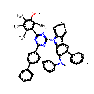 Bc1c(B)c(O)c(B)c(-c2nc(-c3ccc(-c4ccccc4)cc3)nc(-n3c4c(c5cc(-c6ccccc6)c(N(C)c6ccccc6)cc53)=CCCC=4)n2)c1B